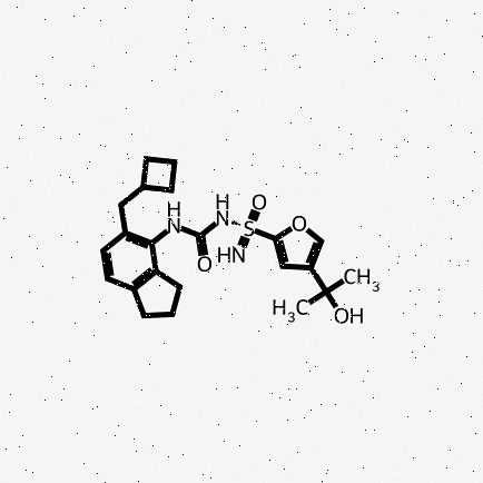 CC(C)(O)c1coc([S@@](=N)(=O)NC(=O)Nc2c(CC3CCC3)ccc3c2CCC3)c1